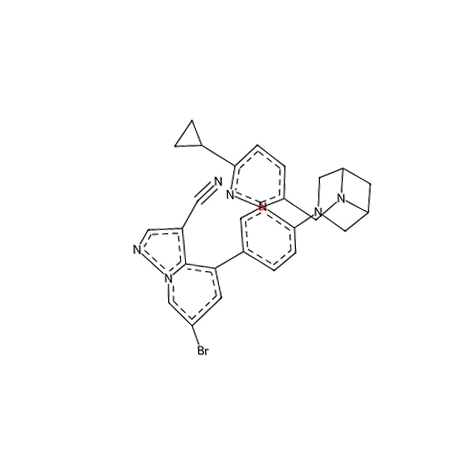 N#Cc1cnn2cc(Br)cc(-c3ccc(N4CC5CC(C4)N5Cc4ccc(C5CC5)nc4)nc3)c12